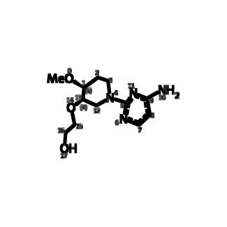 CO[C@H]1CCN(c2nccc(N)n2)C[C@H]1OCCO